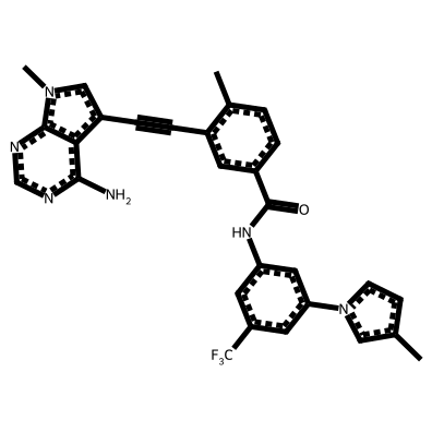 Cc1ccn(-c2cc(NC(=O)c3ccc(C)c(C#Cc4cn(C)c5ncnc(N)c45)c3)cc(C(F)(F)F)c2)c1